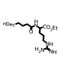 CCCCCCCCCCCCCC(=O)NC(CCCNC(=N)N)C(=O)OCC